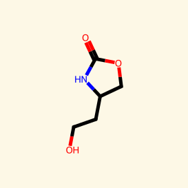 O=C1NC(CCO)CO1